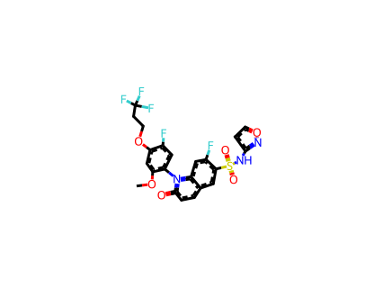 COc1cc(OCCC(F)(F)F)c(F)cc1-n1c(=O)ccc2cc(S(=O)(=O)Nc3ccon3)c(F)cc21